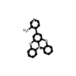 Cc1cnccc1-c1cc2c3c(c1)Oc1ccccc1P3(=O)c1ccccc1O2